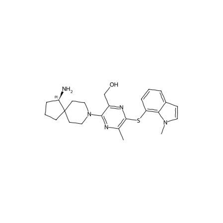 Cc1nc(N2CCC3(CCC[C@H]3N)CC2)c(CO)nc1Sc1cccc2ccn(C)c12